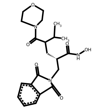 CC(C)C(C[C@@H](CN1C(=O)c2ccccc2C1=O)C(=O)NO)C(=O)N1CCOCC1